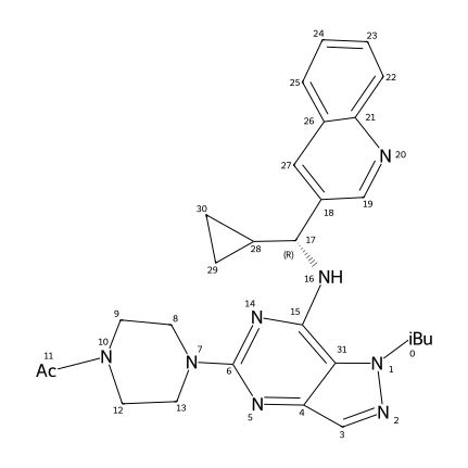 CCC(C)n1ncc2nc(N3CCN(C(C)=O)CC3)nc(N[C@@H](c3cnc4ccccc4c3)C3CC3)c21